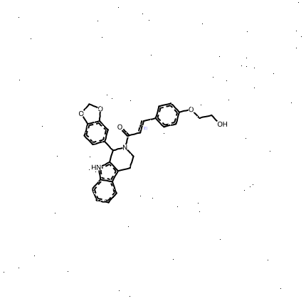 O=C(/C=C/c1ccc(OCCO)cc1)N1CCc2c([nH]c3ccccc23)C1c1ccc2c(c1)OCO2